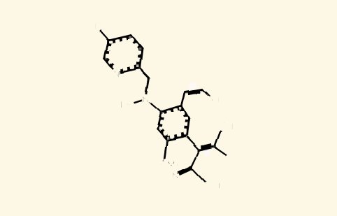 COc1cc(N(C)Cc2ccc(F)cn2)c(/C=C\C=O)cc1/C(C(C)=N)=C(\C)O